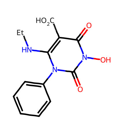 CCNc1c(C(=O)O)c(=O)n(O)c(=O)n1-c1ccccc1